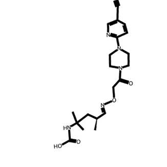 C[C@H](/C=N/OCC(=O)N1CCN(c2ccc(C#N)cn2)CC1)CC(C)(C)NC(=O)O